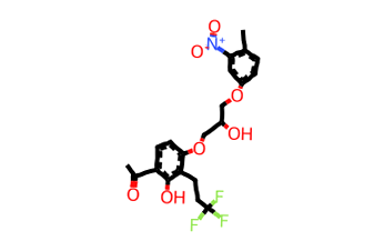 CC(=O)c1ccc(OCC(O)COc2ccc(C)c([N+](=O)[O-])c2)c(CCC(F)(F)F)c1O